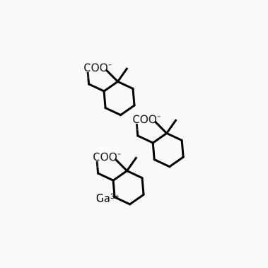 CC1(C)CCCCC1CC(=O)[O-].CC1(C)CCCCC1CC(=O)[O-].CC1(C)CCCCC1CC(=O)[O-].[Ga+3]